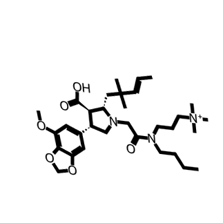 C/C=C/C(C)(C)C[C@H]1[C@H](C(=O)O)[C@@H](c2cc(OC)c3c(c2)OCO3)CN1CC(=O)N(CCCC)CCC[N+](C)(C)C